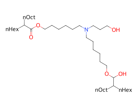 CCCCCCCCC(CCCCCC)C(=O)OCCCCCCN(CCCO)CCCCCCOC(O)C(CCCCCC)CCCCCCCC